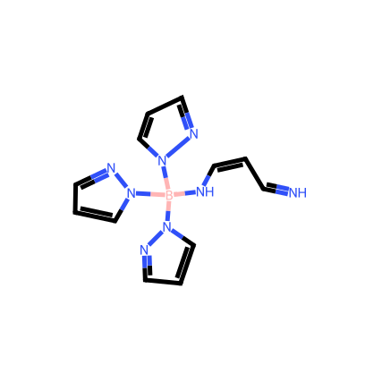 N=C/C=C\N[B-](n1cccn1)(n1cccn1)n1cccn1